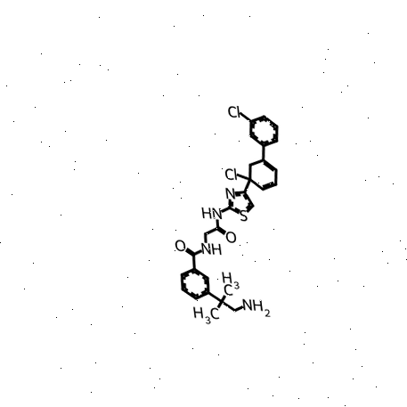 CC(C)(CN)c1cccc(C(=O)NCC(=O)Nc2nc(C3(Cl)C=CC=C(c4cccc(Cl)c4)C3)cs2)c1